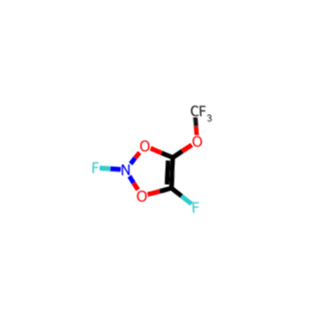 FC1=C(OC(F)(F)F)ON(F)O1